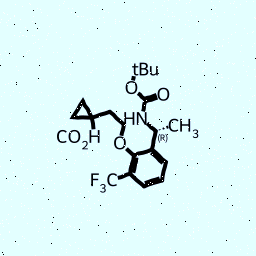 C[C@@H](NC(=O)OC(C)(C)C)c1cccc(C(F)(F)F)c1OCCC1(C(=O)O)CC1